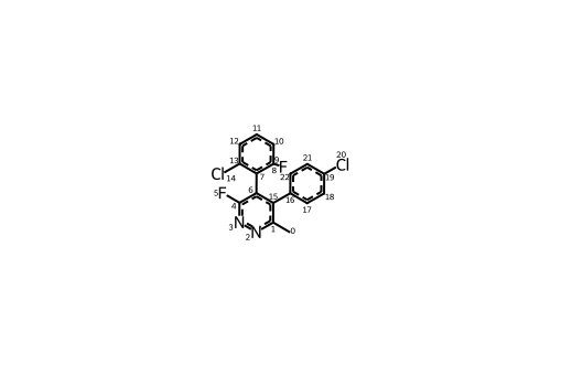 Cc1nnc(F)c(-c2c(F)cccc2Cl)c1-c1ccc(Cl)cc1